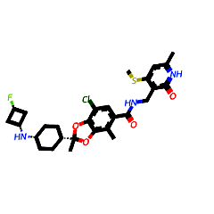 CSc1cc(C)[nH]c(=O)c1CNC(=O)c1cc(Cl)c2c(c1C)OC(C)([C@H]1CC[C@@H](N[C@H]3C[C@H](F)C3)CC1)O2